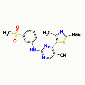 CNc1nc(C)c(-c2nc(Nc3cccc(S(C)(=O)=O)c3)ncc2C#N)s1